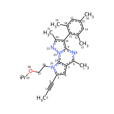 CC#Cc1cc2c(C)nc3c(-c4c(C)cc(C)cc4C)c(C)nn3c2n1CCOC(C)C